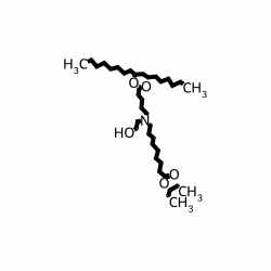 CCCCCCCCC(CCCCCCCC)OC(=O)CCCCN(CCO)CCCCCCCCC(=O)OC(CC)CC